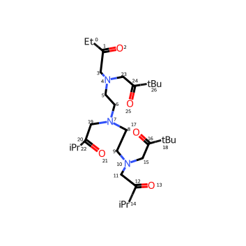 CCC(=O)CN(CCN(CCN(CC(=O)C(C)C)CC(=O)C(C)(C)C)CC(=O)C(C)C)CC(=O)C(C)(C)C